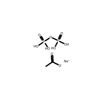 CC(=O)[O-].O=P(O)(O)OP(=O)(O)O.[Na+]